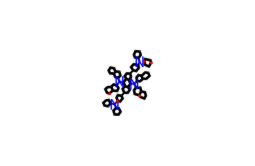 c1ccc(N(c2ccccc2)c2ccc(-c3ccc4c(N(c5ccc6ccccc6c5)c5ccc6ccccc6c5)c5cc(-c6ccc(N(c7ccccc7)c7ccccc7)cc6)ccc5c(N(c5ccc6ccccc6c5)c5ccc6ccccc6c5)c4c3)cc2)cc1